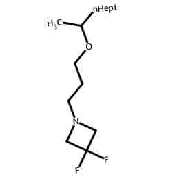 CCCCCCCC(C)OCCCN1CC(F)(F)C1